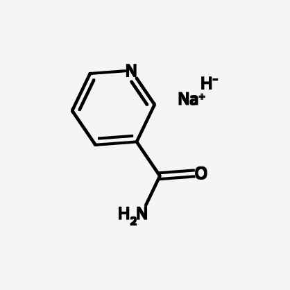 NC(=O)c1cccnc1.[H-].[Na+]